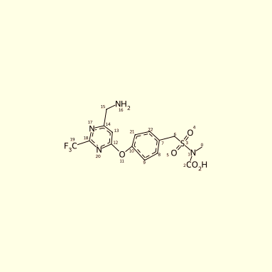 CN(C(=O)O)S(=O)(=O)Cc1ccc(Oc2cc(CN)nc(C(F)(F)F)n2)cc1